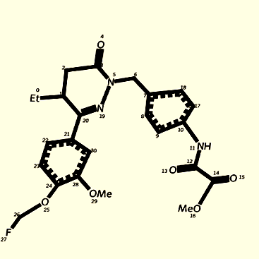 CCC1CC(=O)N(Cc2ccc(NC(=O)C(=O)OC)cc2)N=C1c1ccc(OCF)c(OC)c1